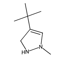 CN1C=C(C(C)(C)C)CN1